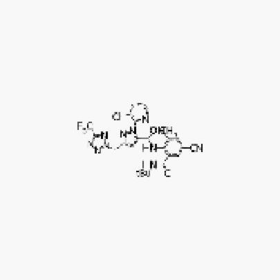 Cc1cc(C#N)cc(C(=O)NC(C)(C)C)c1NC(O)c1cc(Cn2nnc(C(F)(F)F)n2)nn1-c1ncccc1Cl